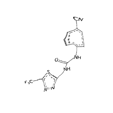 N#Cc1ccc(NC(=O)Nc2nnc(C(F)(F)F)s2)cc1